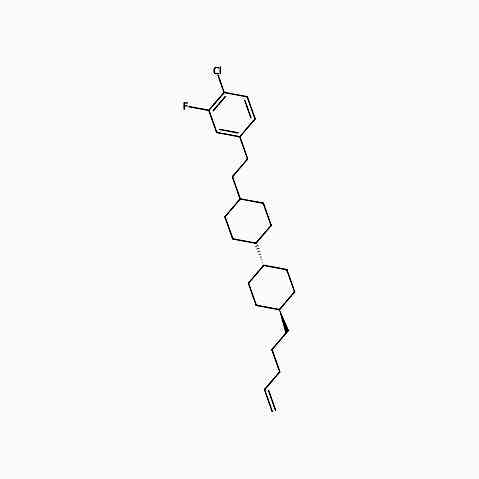 C=CCCC[C@H]1CC[C@H](C2CCC(CCc3ccc(Cl)c(F)c3)CC2)CC1